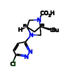 CC(C)(C)[C@@]12C[C@H](CN1C(=O)O)N(c1ccc(Cl)nn1)C2